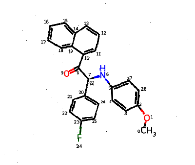 COc1ccc(N[C@H](C(=O)c2cccc3ccccc23)c2ccc(F)cc2)cc1